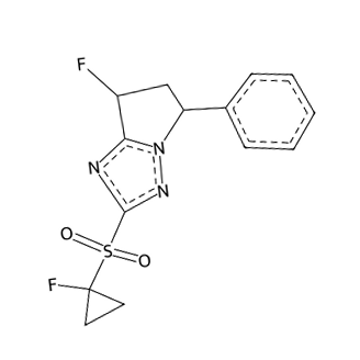 O=S(=O)(c1nc2n(n1)C(c1ccccc1)CC2F)C1(F)CC1